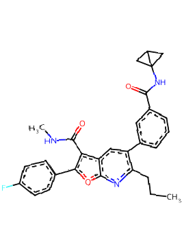 CCCc1nc2oc(-c3ccc(F)cc3)c(C(=O)NC)c2cc1-c1cccc(C(=O)NC23CC2C3)c1